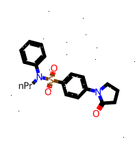 CCCN(c1ccccc1)S(=O)(=O)c1ccc(N2CCCC2=O)cc1